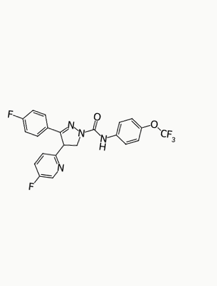 O=C(Nc1ccc(OC(F)(F)F)cc1)N1CC(c2ccc(F)cn2)C(c2ccc(F)cc2)=N1